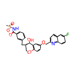 CS(=O)(=O)NC(=O)c1cccc(CC2COc3ccc(OCc4ccc5cc(F)ccc5n4)cc3C2O)c1